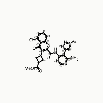 COC(=O)C1CC(n2c([C@H](C)Nc3ncnc(N)c3-c3nnn(C)n3)nc3cccc(Cl)c3c2=O)C1